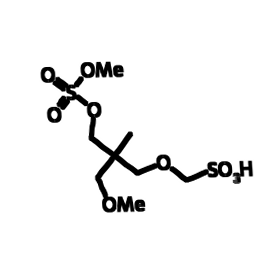 COCC(C)(COCS(=O)(=O)O)COS(=O)(=O)OC